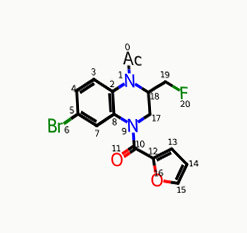 CC(=O)N1c2ccc(Br)cc2N(C(=O)c2ccco2)CC1CF